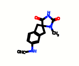 CN1C(=O)NC(=O)C12Cc1ccc(NC=O)cc1C2